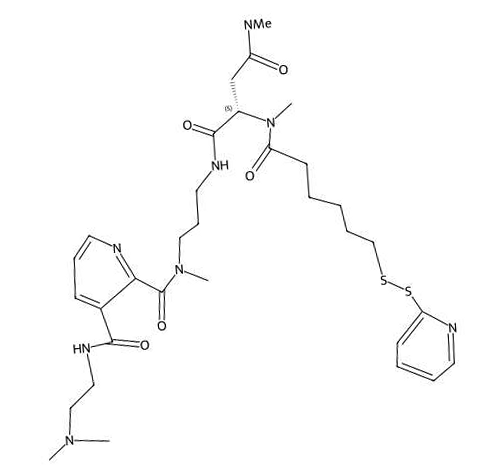 CNC(=O)C[C@@H](C(=O)NCCCN(C)C(=O)c1ncccc1C(=O)NCCN(C)C)N(C)C(=O)CCCCCSSc1ccccn1